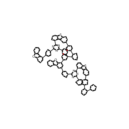 c1ccc(-c2nc(-c3ccc(-c4cccc5oc6ccccc6c45)cc3)nc(-c3cccc4sc5ccc(-c6ccc(-c7ccccc7-c7cccc(-c8cc(-c9cccc(-c%10nc(-c%11ccccc%11)nc(-c%11cccc%12sc%13ccc(-c%14ccc(-c%15ccccc%15-c%15ccccc%15)cc%14)cc%13c%11%12)n%10)c9)cc9c8oc8ccccc89)c7)cc6)cc5c34)n2)cc1